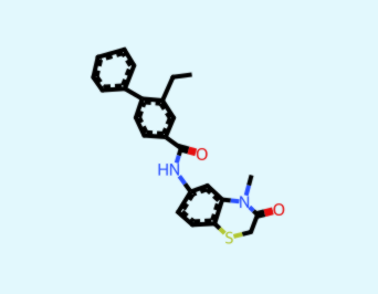 CCc1cc(C(=O)Nc2ccc3c(c2)N(C)C(=O)CS3)ccc1-c1ccccc1